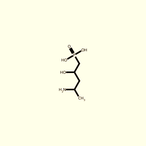 CC(N)CC(O)CP(=O)(O)O